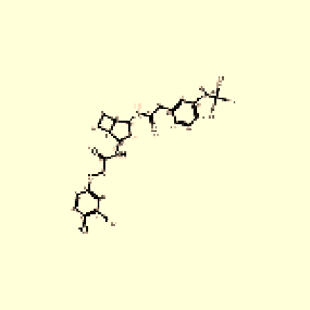 O=C(COc1ccc(Cl)c(F)c1)NC1C[C@H](NC(=O)Cc2cccc(OC(F)(F)F)c2)C2CCC12